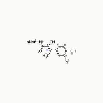 CCCCCCCCCNC(=O)/C(C#N)=C(\C)c1ccc(O)c(Cl)c1